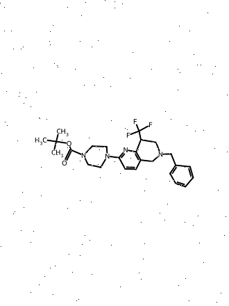 CC(C)(C)OC(=O)N1CCN(c2ccc3c(n2)C(C(F)(F)F)CN(Cc2ccccc2)C3)CC1